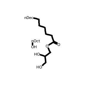 CCCCCCCCCCCCCCCC(=O)OCC(O)CO.CCCCCCCCO